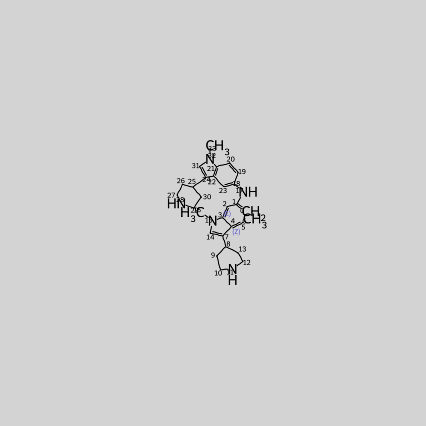 C=C(/C=c1\c(=C/C)c(C2CCNCC2)cn1C)Nc1ccc2c(c1)c(C1CCNCC1)cn2C